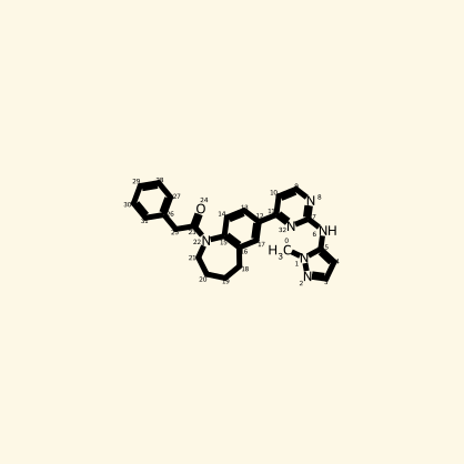 Cn1nccc1Nc1nccc(-c2ccc3c(c2)CCCCN3C(=O)Cc2ccccc2)n1